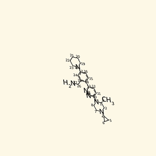 CC1CN(C2CC2)CCN1c1ccc(-c2ccc(N3CCCCC3)cc2CN)nn1